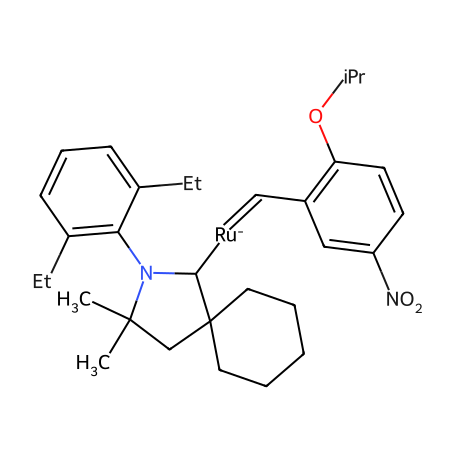 CCc1cccc(CC)c1N1[CH]([Ru-]=[CH]c2cc([N+](=O)[O-])ccc2OC(C)C)C2(CCCCC2)CC1(C)C